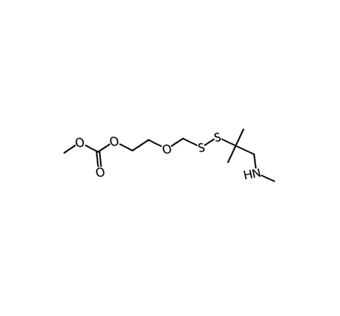 CNCC(C)(C)SSCOCCOC(=O)OC